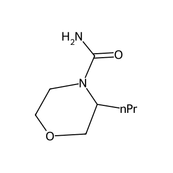 CCCC1COCCN1C(N)=O